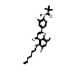 C=CCCCCNc1c(F)cc(F)c2oc(-c3ccc(NC(=O)C(C)(C)C)c(F)c3)cc(=O)c12